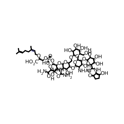 CC(=O)NC1[C@H](O[C@@H]2C(CO[C@@H]3OC(CO)[C@@H](O)[C@H](O)C3O)O[C@@H](OC3[C@@H](OP(=O)(O)OC[C@@H](OC/C=C(/C)CCC=C(C)C)C(=O)O)OC(C(N)=O)[C@@](C)(O)[C@@H]3OC(N)=O)C(NC(C)=O)[C@H]2O)OC(C)[C@@H](O[C@@H]2OC(C(=O)NC3=C(O)CCC3=O)[C@H](O)[C@H](O)C2O)[C@@H]1O